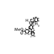 COC(=O)c1ccc([C@@]2(c3ccc(OC(C)(C)c4ccccn4)cc3)CC3CCC2C3)cc1